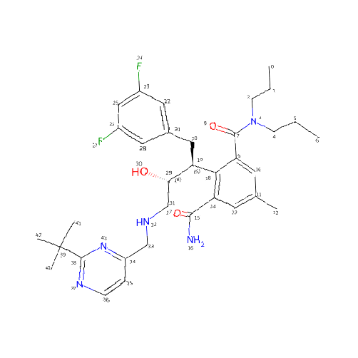 CCCN(CCC)C(=O)c1cc(C)cc(C(N)=O)c1[C@H](Cc1cc(F)cc(F)c1)[C@@H](O)CNCc1ccnc(C(C)(C)C)n1